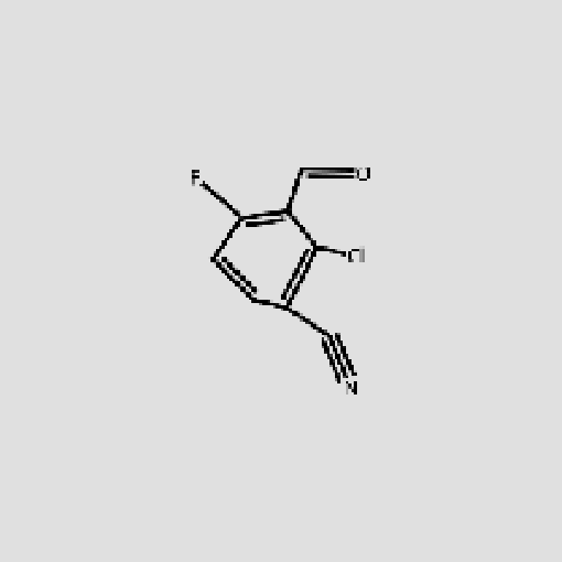 N#Cc1ccc(F)c(C=O)c1Cl